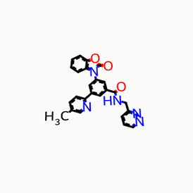 Cc1ccc(-c2cc(C(=O)NCc3cccnn3)cc(-n3c(=O)oc4ccccc43)c2)nc1